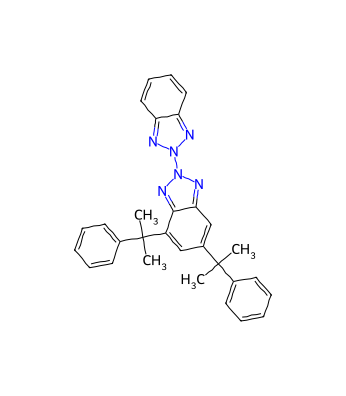 CC(C)(c1ccccc1)c1cc(C(C)(C)c2ccccc2)c2nn(-n3nc4ccccc4n3)nc2c1